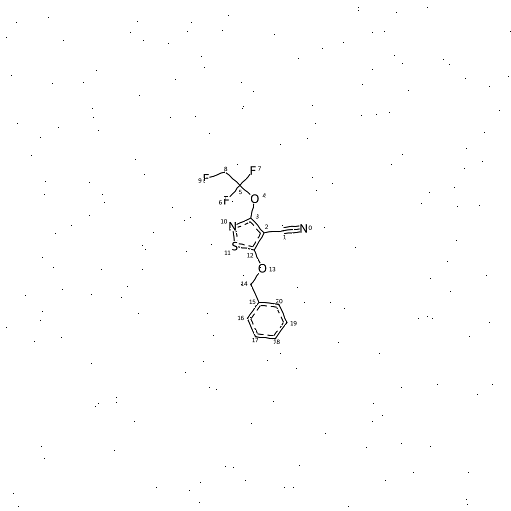 N#Cc1c(OC(F)(F)CF)nsc1OCc1ccccc1